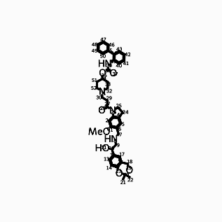 COc1cc2c(cc1CNC[C@H](O)c1ccc3c(c1)COC(C)(C)O3)CCN2C(=O)CCN1CCC(OC(=O)Nc2ccccc2-c2ccccc2)CC1